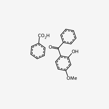 COc1ccc(C(=O)c2ccccc2)c(O)c1.O=C(O)c1ccccc1